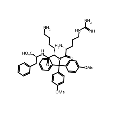 COc1ccc(C(c2ccccc2)(c2ccc(OC)cc2)N(C(=O)[C@H](N)CCCNC(=N)N)[C@@H](CCCCN)C(=O)N[C@@H](Cc2ccccc2)C(=O)O)cc1